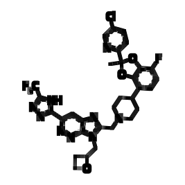 CC1(c2ccc(Cl)cn2)Oc2c(F)ccc(C3CCN(Cc4nc5cc(-c6nnc(C(F)(F)F)[nH]6)nnc5n4CC4CCO4)CC3)c2O1